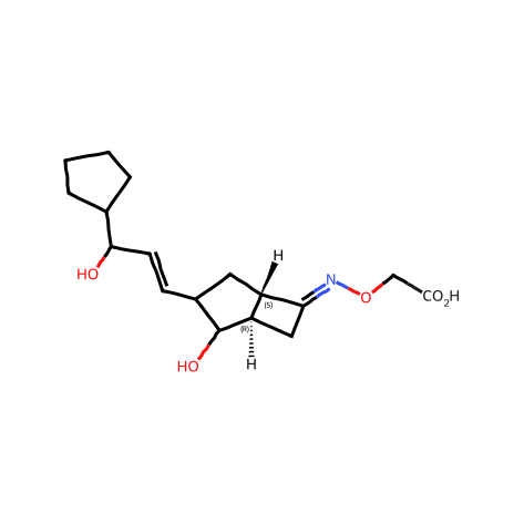 O=C(O)CON=C1C[C@H]2C(O)C(C=CC(O)C3CCCC3)C[C@H]12